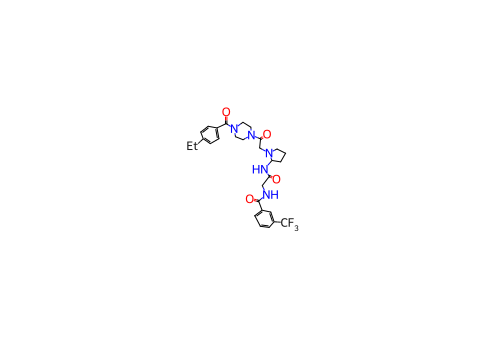 CCc1ccc(C(=O)N2CCN(C(=O)CN3CCCC3NC(=O)CNC(=O)c3cccc(C(F)(F)F)c3)CC2)cc1